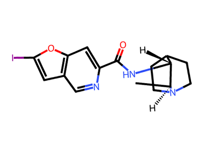 C[C@H]1[C@H](NC(=O)c2cc3oc(I)cc3cn2)C2CCN1CC2